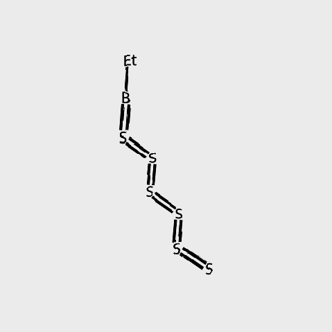 CCB=S=S=S=S=S=S